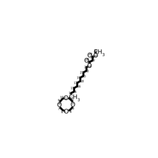 C1COCCOCCOCCO1.CCCCCCCCCCCCOC(=O)CC(=O)OC